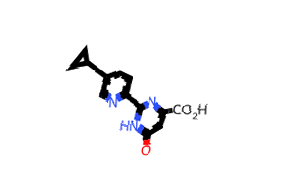 O=C(O)c1cc(=O)[nH]c(-c2ccc(C3CC3)cn2)n1